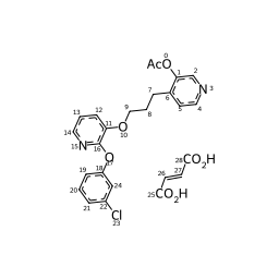 CC(=O)Oc1cnccc1CCCOc1cccnc1Oc1cccc(Cl)c1.O=C(O)C=CC(=O)O